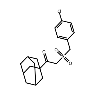 O=C(CS(=O)(=O)Cc1ccc(Cl)cc1)C12CC3CC(CC(C3)C1)C2